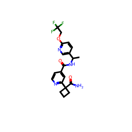 CC(NC(=O)c1ccnc(C2(C(N)=O)CCC2)c1)c1ccc(OCC(F)(F)F)nc1